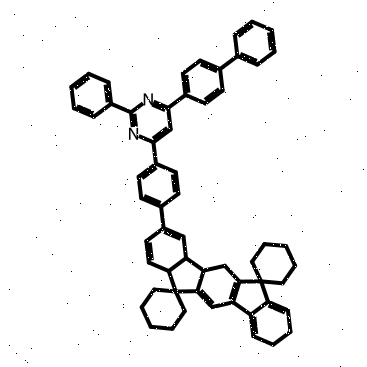 C1=CC2C(C=C1c1ccc(-c3cc(-c4ccc(-c5ccccc5)cc4)nc(-c4ccccc4)n3)cc1)C1CC3=C(C=C1C21CCCCC1)C1=CCCC=C1C31CCCCC1